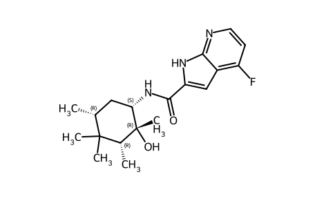 C[C@@H]1C[C@H](NC(=O)c2cc3c(F)ccnc3[nH]2)[C@](C)(O)[C@H](C)C1(C)C